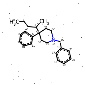 CCCC(C)C1(c2ccccc2)CCN(Cc2ccccc2)CC1